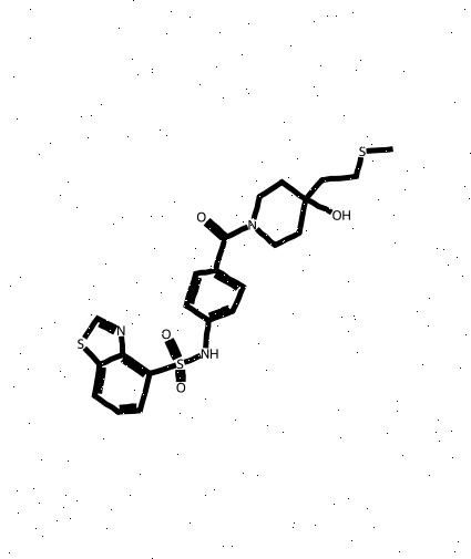 CSCCC1(O)CCN(C(=O)c2ccc(NS(=O)(=O)c3cccc4scnc34)cc2)CC1